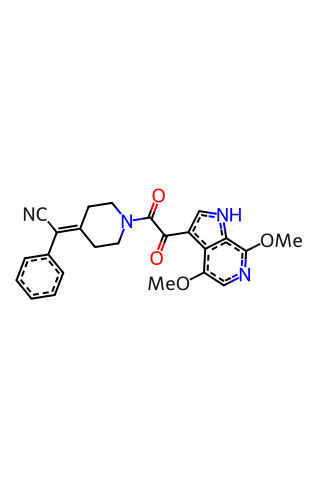 COc1ncc(OC)c2c(C(=O)C(=O)N3CCC(=C(C#N)c4ccccc4)CC3)c[nH]c12